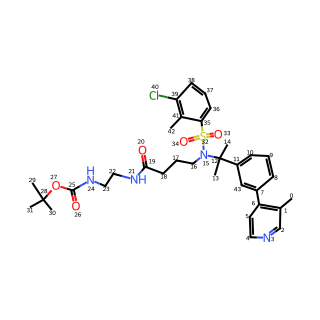 Cc1cnccc1-c1cccc(C(C)(C)N(CCCC(=O)NCCNC(=O)OC(C)(C)C)S(=O)(=O)c2cccc(Cl)c2C)c1